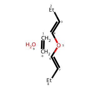 C=C.CCC=COC=CCC.O